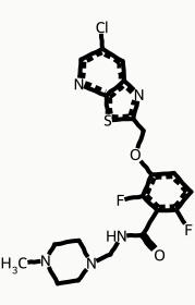 CN1CCN(CNC(=O)c2c(F)ccc(OCc3nc4cc(Cl)cnc4s3)c2F)CC1